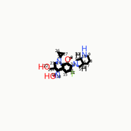 COc1c(N2C[C@@H]3CCCN[C@@H]3C2)c(F)cc2/c(=N/O)c(CO)cn(C3CC3)c12